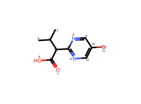 CC(C)C(C(=O)O)c1ncc(Br)cn1